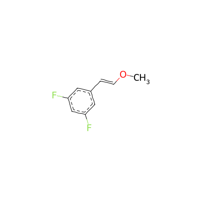 COC=Cc1cc(F)cc(F)c1